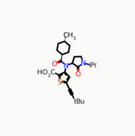 CC(C)N1CCC(N(c2cc(C#CC(C)(C)C)sc2C(=O)O)C(=O)[C@H]2CC[C@H](C)CC2)C1=O